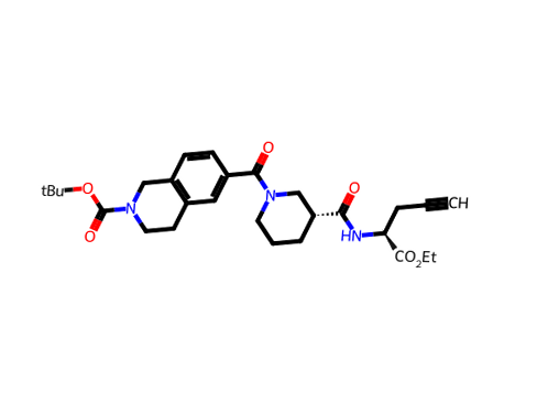 C#CC[C@H](NC(=O)[C@@H]1CCCN(C(=O)c2ccc3c(c2)CCN(C(=O)OC(C)(C)C)C3)C1)C(=O)OCC